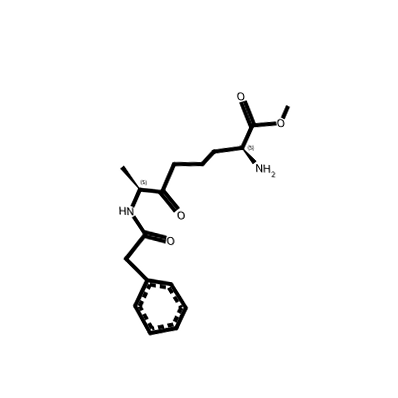 COC(=O)[C@@H](N)CCCC(=O)[C@H](C)NC(=O)Cc1ccccc1